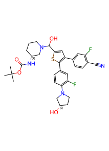 CC(C)(C)OC(=O)N[C@@H]1CCCN(C(O)c2cc(-c3ccc(C#N)c(F)c3)c(-c3ccc(N4CC[C@H](O)C4)c(F)c3)s2)C1